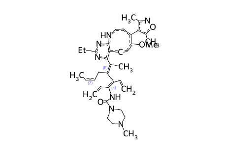 C=C/C(NC(=O)N1CCN(C)CC1)=C(C=C)\C(C/C=C\C)=C(/C)c1nc(CC)nc2[nH]ccc(-c3c(C)noc3C)c(OC)ccc12